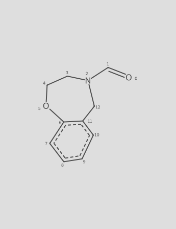 O=CN1CCOc2ccccc2C1